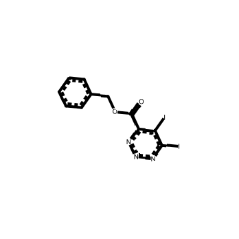 O=C(OCc1ccccc1)c1nnnc(I)c1I